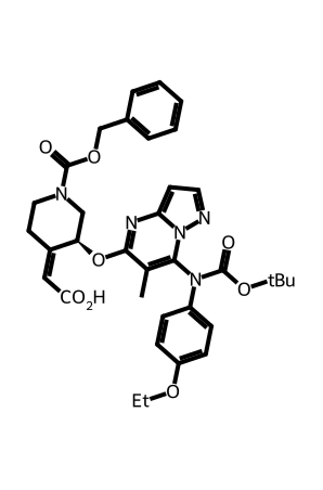 CCOc1ccc(N(C(=O)OC(C)(C)C)c2c(C)c(O[C@@H]3CN(C(=O)OCc4ccccc4)CC/C3=C/C(=O)O)nc3ccnn23)cc1